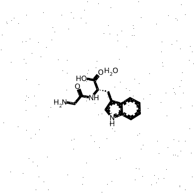 NCC(=O)N[C@@H](Cc1c[nH]c2ccccc12)C(=O)O.O